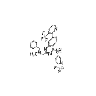 CN(Cc1ccccc1)Cc1nc(Nc2ccc(C(F)(F)F)nc2)c2ccc(-c3ncccc3C(F)(F)F)cc2n1